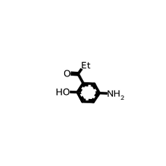 CCC(=O)c1cc(N)ccc1O